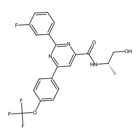 C[C@@H](CO)NC(=O)c1cc(-c2ccc(OC(F)(F)F)cc2)nc(-c2cccc(F)c2)n1